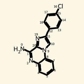 Nc1nc2ccccc2n2cc(-c3ccc(Cl)cc3)nc12